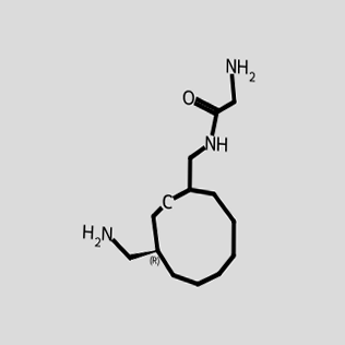 NCC(=O)NCC1CCCCCC[C@@H](CN)CC1